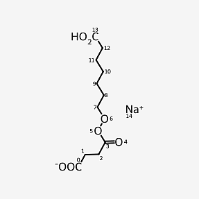 O=C([O-])CCC(=O)OOCCCCCCC(=O)O.[Na+]